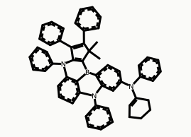 CC1(C)C2=C(C(c3ccccc3)=C1c1ccccc1)N(c1ccccc1)c1cccc3c1B2c1ccc(N(C2=CCCCC2)c2ccccc2)cc1N3c1ccccc1